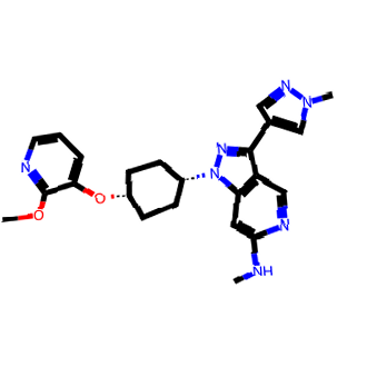 CNc1cc2c(cn1)c(-c1cnn(C)c1)nn2[C@H]1CC[C@@H](Oc2cccnc2OC)CC1